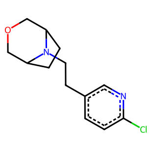 Clc1ccc(CCN2C3CCC2COC3)cn1